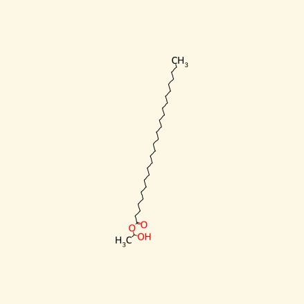 CCCCCCCCCCCCCCCCCCCCCCCCCCCC(=O)OC(C)O